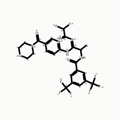 CC(NC(=O)c1cc(C(F)(F)F)cc(C(F)(F)F)c1)/C(=N/C(=N)C(F)F)Nc1ccc(C(=O)N2CCOCC2)cn1